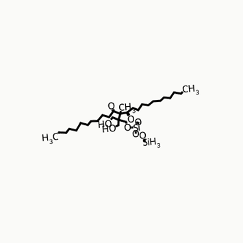 CCCCCCCCCCCC(=O)C(C)(C(=O)CCCCCCCCCCC)C(CO)(CO)CO[Si](=O)OO[SiH3]